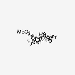 COCCCOc1cc(CO[C@@H](O)C2C[C@@H](C(C)C)C(=O)O2)ccc1C(F)(F)F